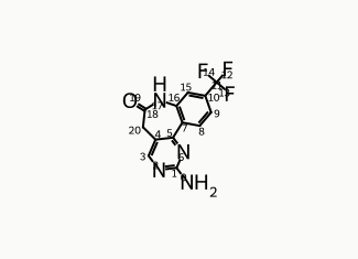 Nc1ncc2c(n1)-c1ccc(C(F)(F)F)cc1NC(=O)C2